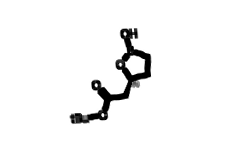 CC(C)(C)OC(=O)C[C@@H]1CCB(O)O1